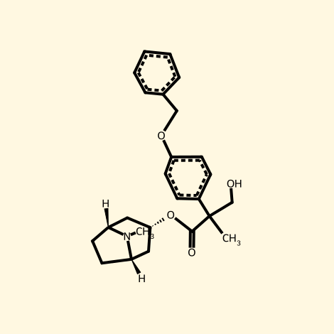 CN1[C@@H]2CC[C@H]1C[C@@H](OC(=O)C(C)(CO)c1ccc(OCc3ccccc3)cc1)C2